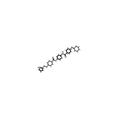 O=C(Nc1ccc(OC(=O)N2CCN(CCc3ccc[nH]3)CC2)cn1)c1ccc(CN2CCCCC2)cc1